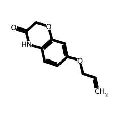 C=CCOc1ccc2c(c1)OCC(=O)N2